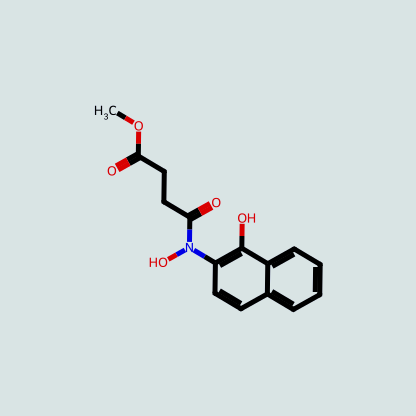 COC(=O)CCC(=O)N(O)c1ccc2ccccc2c1O